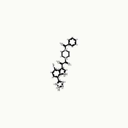 O=C(C(=O)N1CCN(C(=O)c2ccccc2)CC1)c1c[nH]c2c(-c3nn[nH]n3)ccc(F)c12